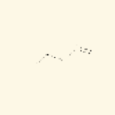 O=[C]COP=O